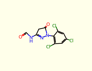 O=CNC1=NN(c2c(Cl)cc(Cl)cc2Cl)C(=O)C1